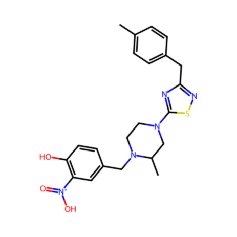 Cc1ccc(Cc2nsc(N3CCN(Cc4ccc(O)c([N+](=O)O)c4)C(C)C3)n2)cc1